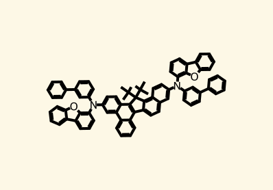 CC(C)(C)C1(C(C)(C)C)c2c(ccc3cc(N(c4cccc(-c5ccccc5)c4)c4cccc5c4oc4ccccc45)ccc23)-c2c1c1ccc(N(c3cccc(-c4ccccc4)c3)c3cccc4c3oc3ccccc34)cc1c1ccccc21